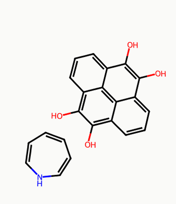 C1=CC=CNC=C1.Oc1c(O)c2cccc3c(O)c(O)c4cccc1c4c23